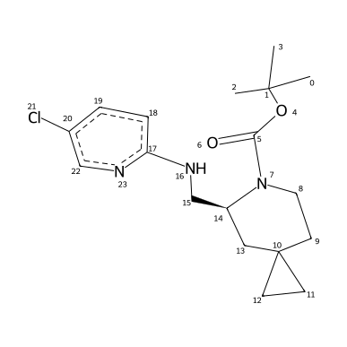 CC(C)(C)OC(=O)N1CCC2(CC2)C[C@H]1CNc1ccc(Cl)cn1